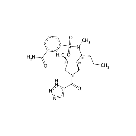 CCC[C@H]([C@H]1CN(C(=O)c2cnn[nH]2)C[C@H]1C)N(C)S(=O)(=O)c1cccc(C(N)=O)c1